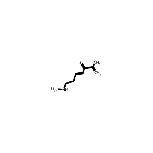 C=C(C)C(=S)/C=C/CCNC